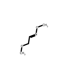 COCC=NOC